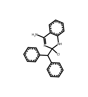 NC1=NC(Cl)(C(c2ccccc2)c2ccccc2)Nc2ccccc21